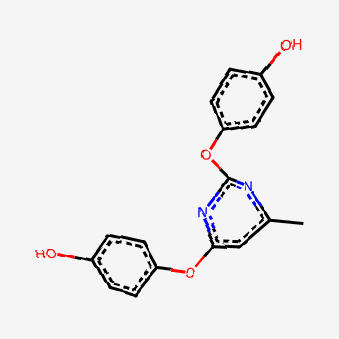 Cc1cc(Oc2ccc(O)cc2)nc(Oc2ccc(O)cc2)n1